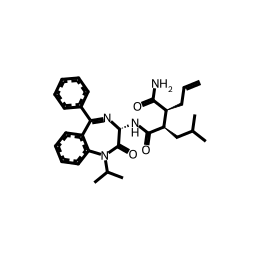 C=CC[C@H](C(N)=O)[C@@H](CC(C)C)C(=O)N[C@H]1N=C(c2ccccc2)c2ccccc2N(C(C)C)C1=O